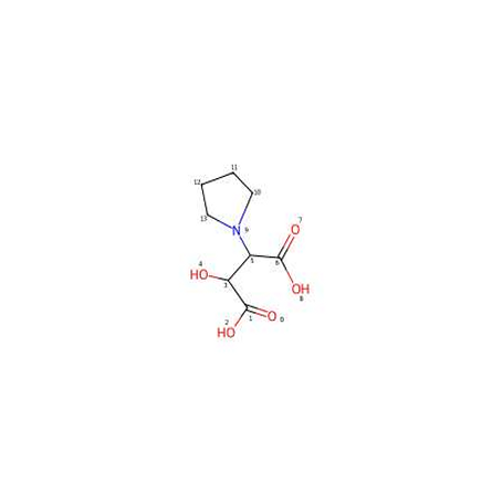 O=C(O)C(O)C(C(=O)O)N1CCCC1